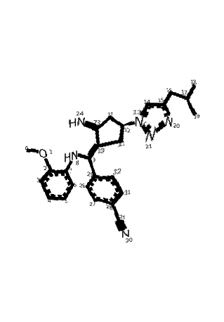 COc1ccccc1N/C(=C1/C[C@H](n2cc(CC(C)C)nn2)CC1=N)c1ccc(C#N)cc1